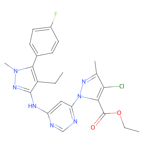 CCOC(=O)c1c(Cl)c(C)nn1-c1cc(Nc2nn(C)c(-c3ccc(F)cc3)c2CC)ncn1